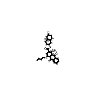 CCCCSc1cc(C(=O)O[C@@H]2CC[C@@H]3CC(Cl)CCC3C2)c(N)c2c1C(=O)c1ccccc1C2=O